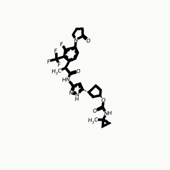 CC(C(=O)Nc1cc([C@@H]2CC[C@H](OC(=O)NC3(C)CC3)C2)[nH]n1)c1ccc(N2CCCC2=O)c(F)c1C(F)(F)F